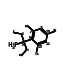 CCC(P)(CC)c1c(C)cc(C)cc1C